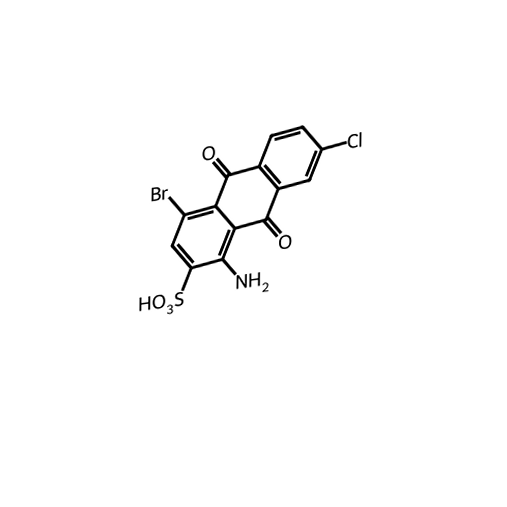 Nc1c(S(=O)(=O)O)cc(Br)c2c1C(=O)c1cc(Cl)ccc1C2=O